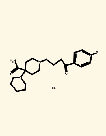 NC(=O)C1(N2CCCCC2)CCN(CCCC(=O)c2ccc(F)cc2)CC1.[KH]